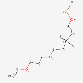 CC(C)(CCOCCCOCC(=O)O)CCOSI